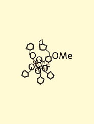 COc1cc(F)c([C@@H]2O[C@H](COCc3ccccc3)[C@@H](OCc3ccccc3)[C@H](OCc3ccccc3)[C@H]2OCc2ccccc2)cc1Cc1ccc2c(c1)CC2